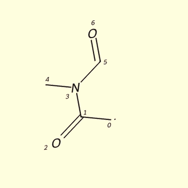 [CH2]C(=O)N(C)C=O